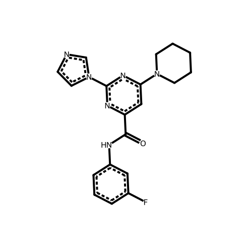 O=C(Nc1cccc(F)c1)c1cc(N2CCCCC2)nc(-n2ccnc2)n1